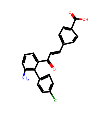 Nc1cccc(C(=O)/C=C/c2ccc(C(=O)O)cc2)c1-c1ccc(Cl)cc1